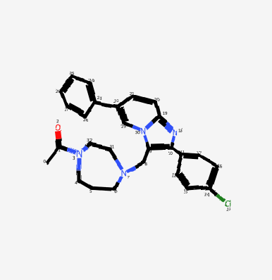 CC(=O)N1CCCN(Cc2c(-c3ccc(Cl)cc3)nc3ccc(-c4ccccc4)cn23)CC1